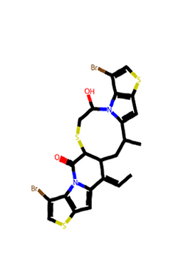 C/C=C1/c2cc3scc(Br)c3n2C(=O)C2SCC(O)n3c(cc4scc(Br)c43)C(C)CC12